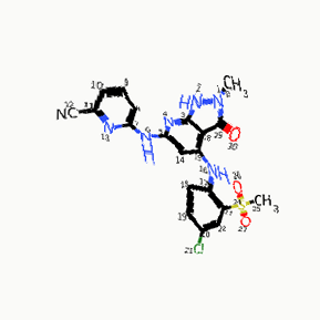 Cn1[nH]c2nc(Nc3cccc(C#N)n3)cc(Nc3ccc(Cl)cc3S(C)(=O)=O)c2c1=O